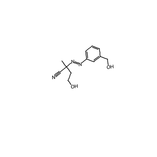 CC(C#N)(CCO)N=Nc1cccc(CO)c1